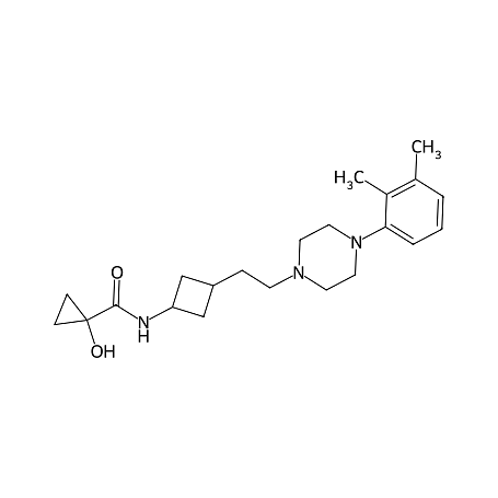 Cc1cccc(N2CCN(CCC3CC(NC(=O)C4(O)CC4)C3)CC2)c1C